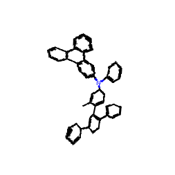 CC1=CC(N(C2=CC=CCC2)c2ccc3c(c2)-c2ccccc2C2C=CC=CC32)CC=C1C1=C(C2=CCCC=C2)CCC(C2C=CC=CC2)=C1